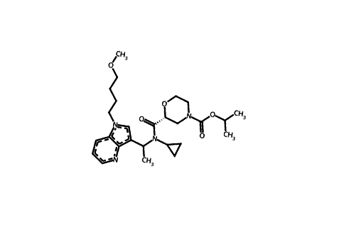 COCCCCn1cc(C(C)N(C(=O)[C@H]2CN(C(=O)OC(C)C)CCO2)C2CC2)c2ncccc21